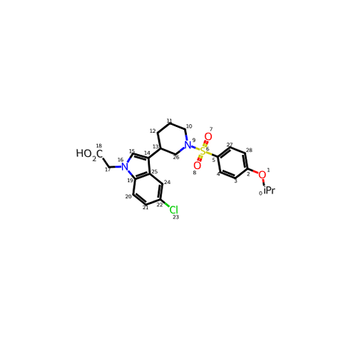 CC(C)Oc1ccc(S(=O)(=O)N2CCCC(c3cn(CC(=O)O)c4ccc(Cl)cc34)C2)cc1